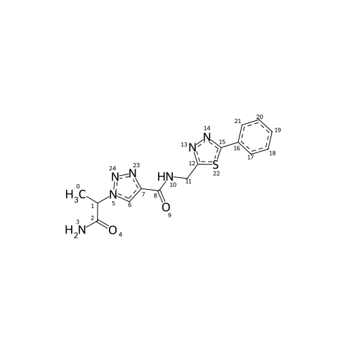 CC(C(N)=O)n1cc(C(=O)NCc2nnc(-c3ccccc3)s2)nn1